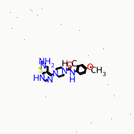 COc1ccc(NC(=O)N2CCN(C3=C4CN(N)SC4NC=N3)CC2)c(C)c1